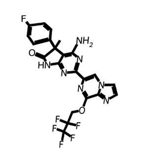 CC1(c2ccc(F)cc2)C(=O)Nc2nc(-c3cn4ccnc4c(OCC(F)(F)C(F)(F)F)n3)nc(N)c21